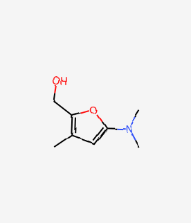 Cc1cc(N(C)C)oc1CO